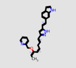 C/C=C(\C=C/C/C=C/c1cc(/C=C/c2ccc3cc[nH]c3c2)[nH]n1)OCc1ccccn1